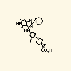 O=C(O)[C@@H]1CC12CCN(c1ccc(Nc3nc(N4CCCCCC4)nc4cn[nH]c(=O)c34)cc1F)CC2